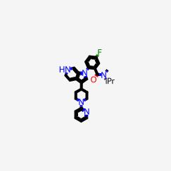 CC(C)N(C)C(=O)c1cc(F)ccc1-n1cc(C2CCN(c3ccccn3)CC2)c2c1=CNCC=2